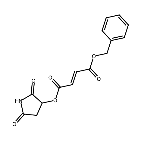 O=C1CC(OC(=O)/C=C/C(=O)OCc2ccccc2)C(=O)N1